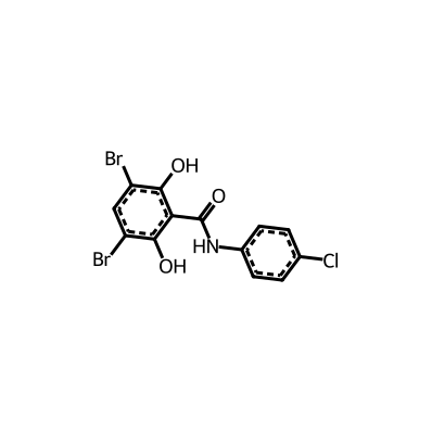 O=C(Nc1ccc(Cl)cc1)c1c(O)c(Br)cc(Br)c1O